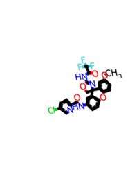 COc1ccc2c(c1)C1(COC(NC(=O)C(F)(F)F)=N1)c1cc(NC(=O)c3ccc(Cl)cn3)ccc1O2